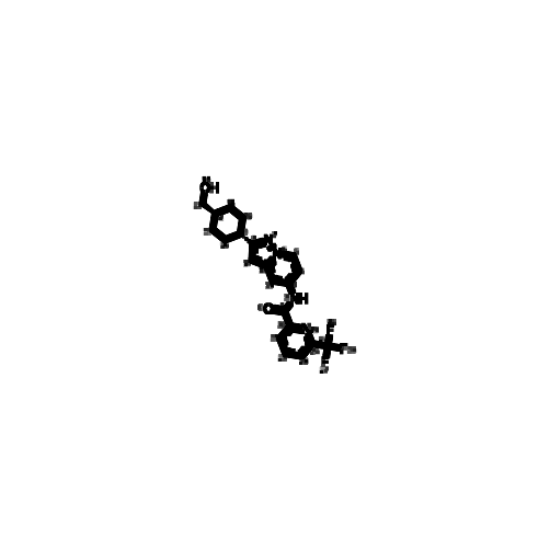 O=C(Nc1ccn2nc([C@H]3CC[C@H](CO)CC3)cc2c1)c1cccc(C(F)(F)F)n1